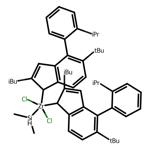 CCC(C)C1=Cc2c(ccc(C(C)(C)C)c2-c2ccccc2C(C)C)[CH]1[Zr]([Cl])([Cl])([CH]1C(C(C)CC)=Cc2c1ccc(C(C)(C)C)c2-c1ccccc1C(C)C)[SiH](C)C